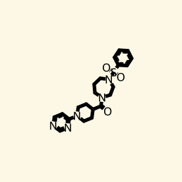 O=C(C1CCN(c2ccncn2)CC1)N1CCCN(S(=O)(=O)c2ccccc2)CC1